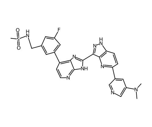 CN(C)c1cncc(-c2ccc3[nH]nc(-c4nc5c(-c6cc(F)cc(CNS(C)(=O)=O)c6)ccnc5[nH]4)c3n2)c1